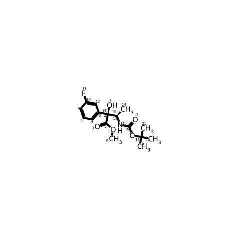 COC(=O)[C@](O)(c1cccc(F)c1)[C@@H](C)NC(=O)OC(C)(C)C